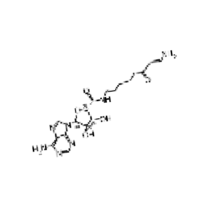 NC=CC(=O)CCCCCNC(=O)[C@H]1O[C@@H](n2cnc3c(N)ncnc32)[C@H](O)[C@@H]1O